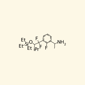 CC[Si](CC)(CC)OC(C(C)C)C(F)(F)c1cccc(C(C)N)c1F